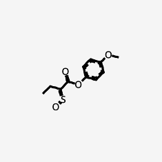 CCC(=S=O)C(=O)Oc1ccc(OC)cc1